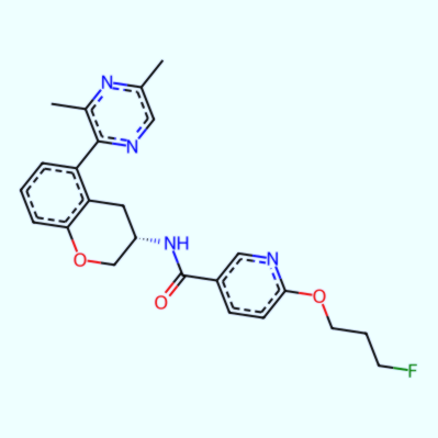 Cc1cnc(-c2cccc3c2C[C@H](NC(=O)c2ccc(OCCCF)nc2)CO3)c(C)n1